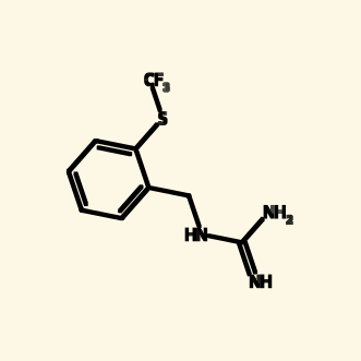 N=C(N)NCc1ccccc1SC(F)(F)F